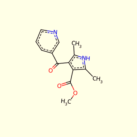 COC(=O)c1c(C)[nH]c(C)c1C(=O)c1cccnc1